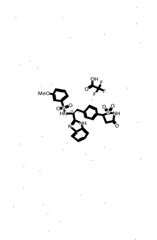 COc1cccc(S(=O)(=O)N[C@@H](Cc2ccc(C3CC(=O)NS3(=O)=O)cc2)c2nc3ccccc3[nH]2)c1.O=C(O)C(F)(F)F